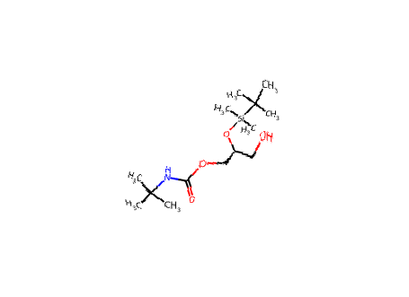 CC(C)(C)NC(=O)OC[C@H](CO)O[Si](C)(C)C(C)(C)C